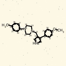 COc1ccc(-c2c[nH]cc2CN2CCN(c3ccc(C)cc3)CC2)cc1